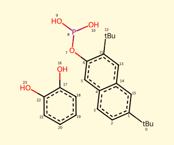 CC(C)(C)c1ccc2cc(OP(O)O)c(C(C)(C)C)cc2c1.Oc1ccccc1O